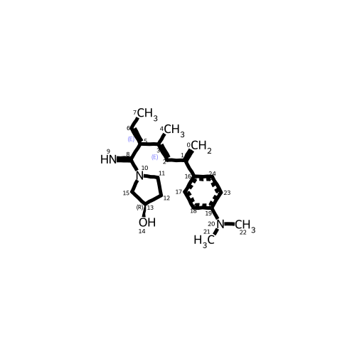 C=C(/C=C(C)/C(=C\C)C(=N)N1CC[C@@H](O)C1)c1ccc(N(C)C)cc1